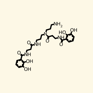 NCCCN(CCCNC(=O)CCNC(=O)c1cccc(O)c1O)C(=O)CCNC(=O)c1cccc(O)c1O